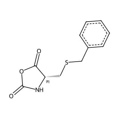 O=C1N[C@@H](CSCc2ccccc2)C(=O)O1